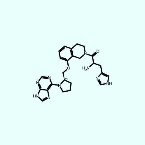 NC(Cc1c[nH]cn1)C(=O)N1CCc2cccc(OC[C@H]3CCCN3c3ncnc4[nH]cnc34)c2C1